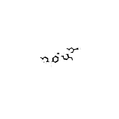 CC(=O)c1ccc(-n2cnc3cc(Nc4ccc(C)nn4)ccc32)nc1N1CC(C#N)CC1C